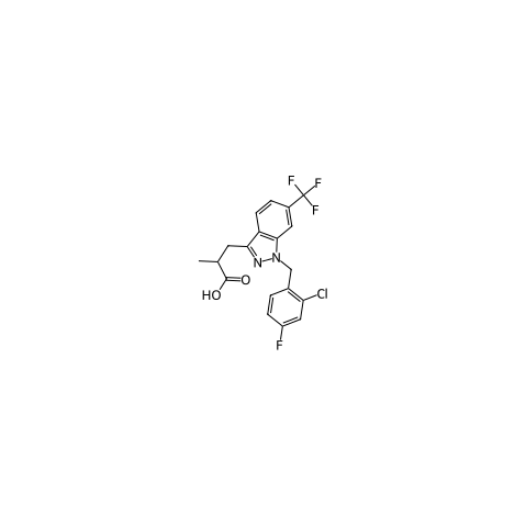 CC(Cc1nn(Cc2ccc(F)cc2Cl)c2cc(C(F)(F)F)ccc12)C(=O)O